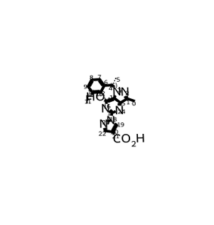 Cc1nn([C@@H](C)c2cccc(F)c2)c2c(O)nc(-n3cc(C(=O)O)cn3)nc12